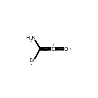 NC(Br)=C=O